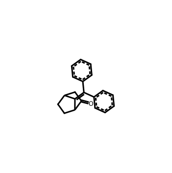 O=C1CC2CCC1C2=C(c1ccccc1)c1ccccc1